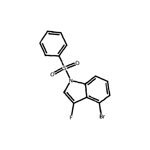 O=S(=O)(c1ccccc1)n1cc(F)c2c(Br)cccc21